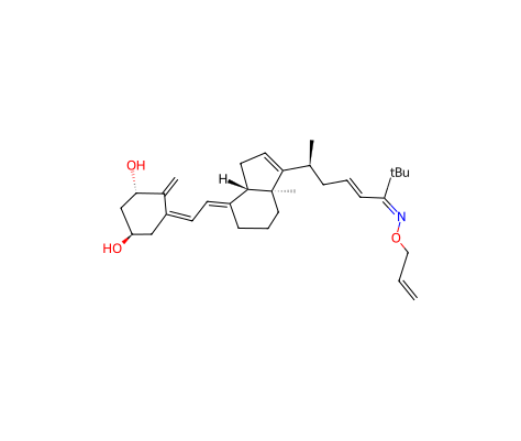 C=CCO/N=C(\C=C\C[C@H](C)C1=CC[C@H]2/C(=C/C=C3/C[C@@H](O)C[C@H](O)C3=C)CCC[C@]12C)C(C)(C)C